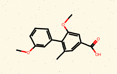 COc1cccc(-c2c(C)cc(C(=O)O)cc2OC)c1